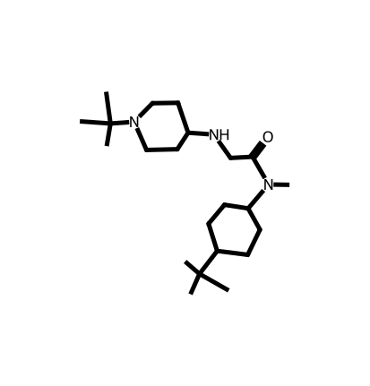 CN(C(=O)CNC1CCN(C(C)(C)C)CC1)C1CCC(C(C)(C)C)CC1